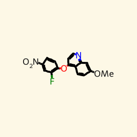 COc1ccc2c(Oc3ccc([N+](=O)[O-])cc3F)ccnc2c1